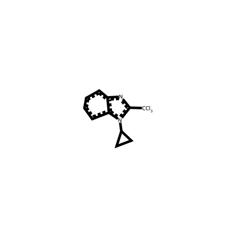 ClC(Cl)(Cl)c1nc2ccccc2n1C1CC1